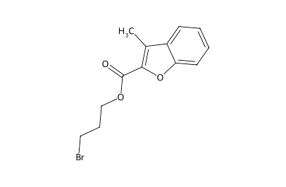 Cc1c(C(=O)OCCCBr)oc2ccccc12